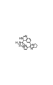 NC(=O)C1NC=Nc2ccc(-c3c(-c4ccn(C5CC5)n4)nc4n3CCC4)cc21